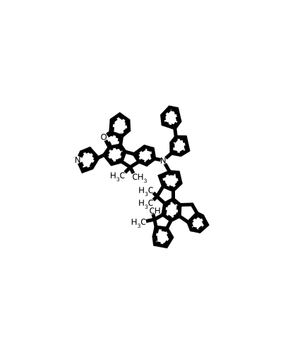 CC1(C)c2cc(N(c3cccc(-c4ccccc4)c3)c3ccc4c(c3)C(C)(C)c3c-4c4c(c5c3C(C)(C)c3ccccc3-5)-c3ccccc3C4)ccc2-c2c1cc(-c1ccncc1)c1oc3ccccc3c21